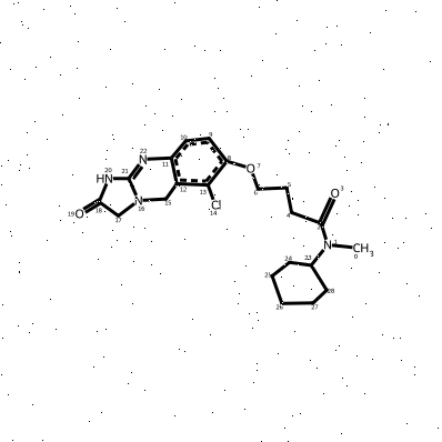 CN(C(=O)CCCOc1ccc2c(c1Cl)CN1CC(=O)NC1=N2)C1CCCCC1